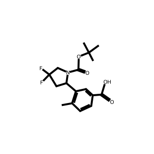 Cc1ccc(C(=O)O)cc1C1CC(F)(F)CN1C(=O)OC(C)(C)C